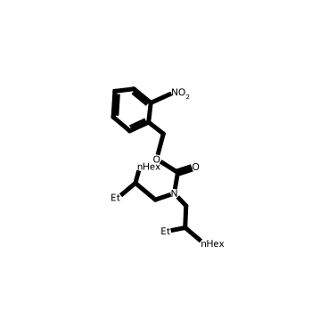 CCCCCCC(CC)CN(CC(CC)CCCCCC)C(=O)OCc1ccccc1[N+](=O)[O-]